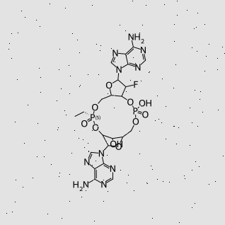 CC[P@]1(=O)OCC2OC(n3cnc4c(N)ncnc43)C(F)C2OP(=O)(O)OCC2OC(n3cnc4c(N)ncnc43)C(O1)C2O